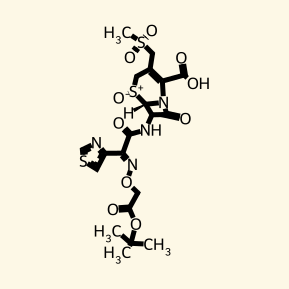 CC(C)(C)OC(=O)CON=C(C(=O)NC1C(=O)N2C(C(=O)O)=C(CS(C)(=O)=O)C[S+]([O-])[C@@H]12)c1cscn1